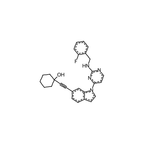 OC1(C#Cc2ccc3ccn(-c4ccnc(NCc5ccccc5F)n4)c3c2)CCCCC1